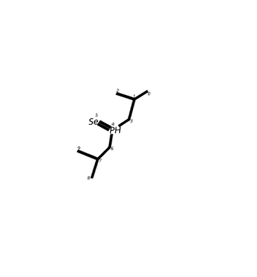 CC(C)C[PH](=[Se])CC(C)C